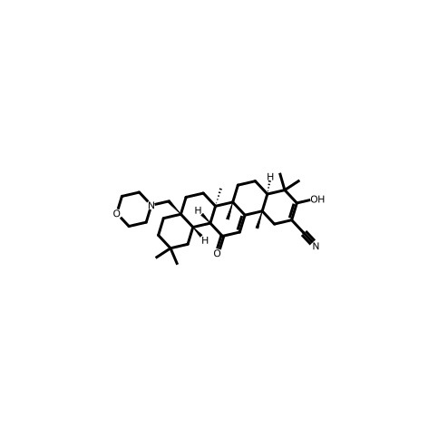 CC1(C)CC[C@]2(CN3CCOCC3)CC[C@]3(C)[C@H](C(=O)C=C4[C@@]5(C)CC(C#N)=C(O)C(C)(C)[C@@H]5CC[C@]43C)[C@@H]2C1